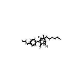 CCCCCCC1(C)C[C@H]2CN(c3ccc(OCC)cc3)[C@@H]1CC2=O